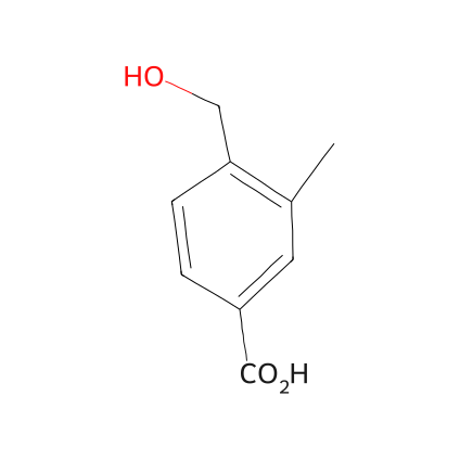 Cc1cc(C(=O)O)ccc1CO